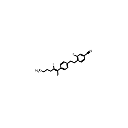 CCCCC(F)=C(F)c1ccc(CCc2ccc(C#N)cc2F)cc1